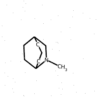 CN1CC2CCCC1CC2